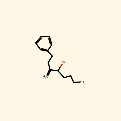 C=C(CCc1ccccc1)C(O)CCCC